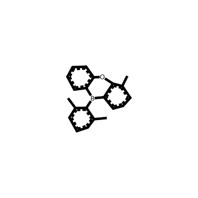 Cc1cccc2c1Oc1ccccc1B2c1c(C)cccc1C